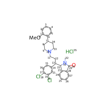 COc1ccccc1C1CCN(CCC(c2ccc(Cl)c(Cl)c2)C2c3ccccc3C(=O)N2C)CC1.Cl